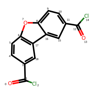 O=C(Cl)c1ccc2oc3ccc(C(=O)Cl)cc3c2c1